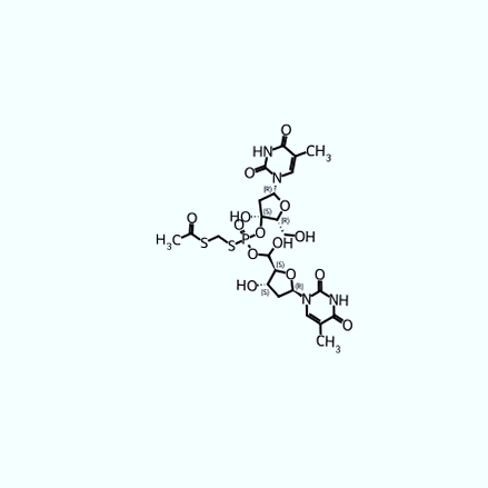 CC(=O)SCSP(=O)(OC(O)[C@H]1O[C@@H](n2cc(C)c(=O)[nH]c2=O)C[C@@H]1O)O[C@@]1(O)C[C@H](n2cc(C)c(=O)[nH]c2=O)O[C@@H]1CO